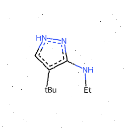 CCNc1n[nH]cc1C(C)(C)C